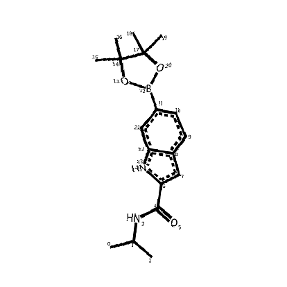 CC(C)NC(=O)c1cc2ccc(B3OC(C)(C)C(C)(C)O3)cc2[nH]1